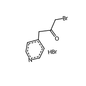 Br.O=C(CBr)Cc1ccncc1